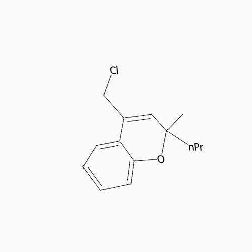 CCCC1(C)C=C(CCl)c2ccccc2O1